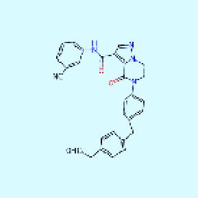 N#Cc1cccc(NC(=O)c2cnn3c2C(=O)N(c2ccc(Cc4ccc(CC=O)cc4)cc2)CC3)c1